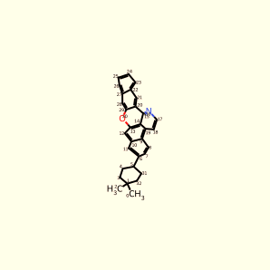 CC1(C)CCC(c2ccc3c(c2)cc2c4c(nccc43)-c3cc4ccccc4cc3O2)CC1